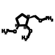 POC[C@H]1CC[C@@H](OP)[C@@H]1OP